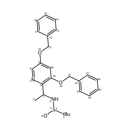 CC(N[S+]([O-])C(C)(C)C)c1ncc(OCc2ccccc2)cc1OCc1ccccc1